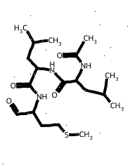 CSCCC(C=O)NC(=O)C(CC(C)C)NC(=O)C(CC(C)C)NC(C)=O